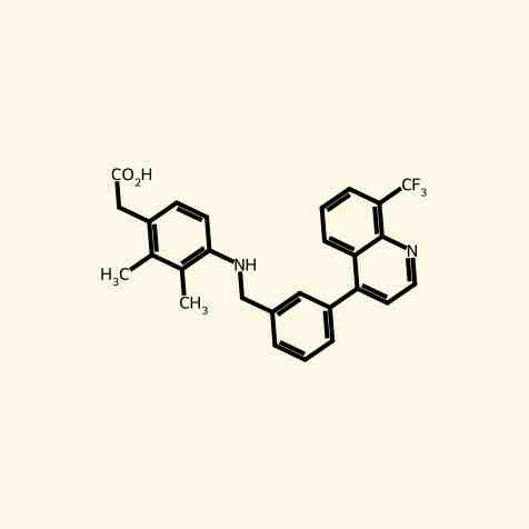 Cc1c(CC(=O)O)ccc(NCc2cccc(-c3ccnc4c(C(F)(F)F)cccc34)c2)c1C